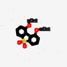 CCCCCCCCOc1cccc2c1-c1c(OCCCCCCCC)cccc1S2(=O)=O